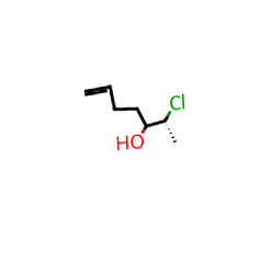 C=CCCC(O)[C@@H](C)Cl